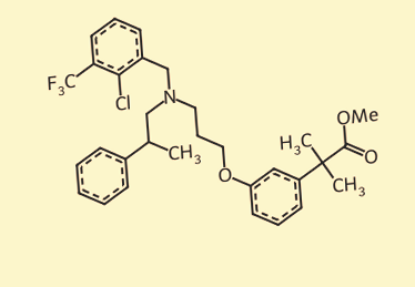 COC(=O)C(C)(C)c1cccc(OCCCN(Cc2cccc(C(F)(F)F)c2Cl)CC(C)c2ccccc2)c1